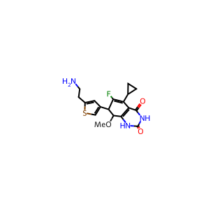 COC1c2[nH]c(=O)[nH]c(=O)c2C(C2CC2)=C(F)C1c1csc(CCN)c1